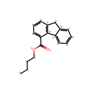 CCCCOC(=O)c1cccc2c1-c1ccccc1[CH]2